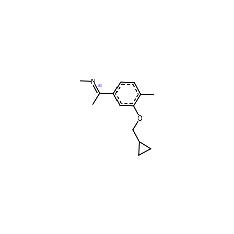 C/N=C(\C)c1ccc(C)c(OCC2CC2)c1